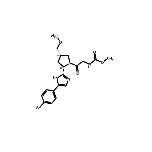 COC[C@H]1C[C@@H](c2ncc(-c3ccc(Br)cc3)[nH]2)N(C(=O)CNC(=O)OC)C1